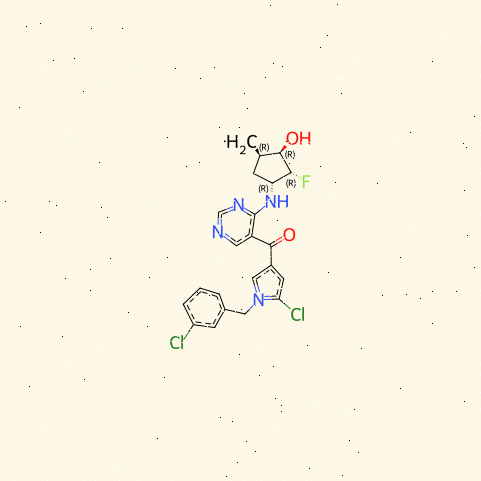 [CH2][C@@H]1C[C@@H](Nc2ncncc2C(=O)c2cc(Cl)n(Cc3cccc(Cl)c3)c2)[C@@H](F)[C@@H]1O